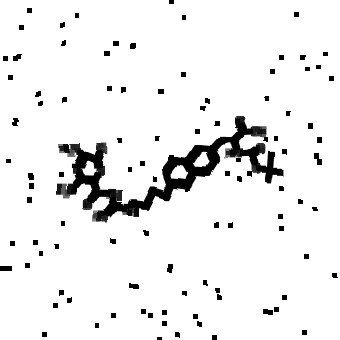 CC(C)(C)OC(=O)N[C@@H](Cc1ccc2cc(CCCCNC(=N)NC(=O)c3nc(Cl)c(N)nc3N)ccc2c1)C(=O)O